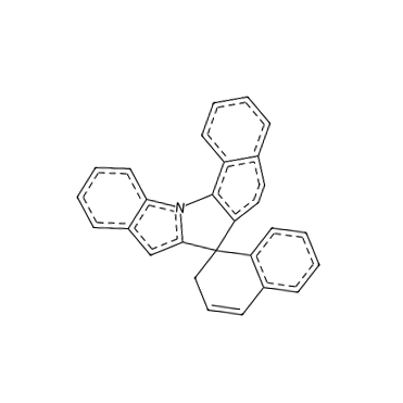 C1=Cc2ccccc2C2(C1)c1ccc3ccccc3c1-n1c2cc2ccccc21